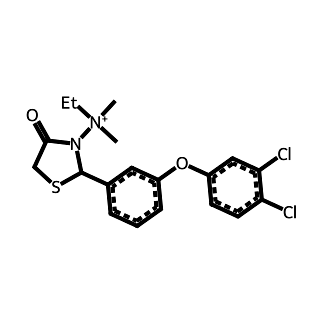 CC[N+](C)(C)N1C(=O)CSC1c1cccc(Oc2ccc(Cl)c(Cl)c2)c1